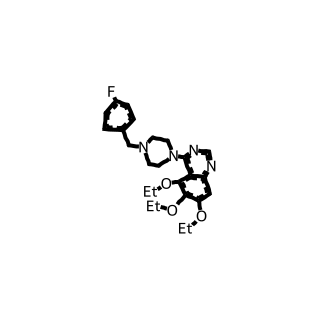 CCOc1cc2ncnc(N3CCN(Cc4ccc(F)cc4)CC3)c2c(OCC)c1OCC